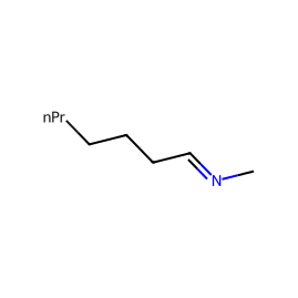 CCCCCC/C=N/C